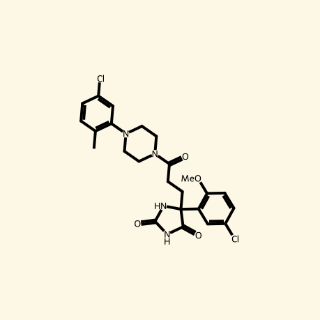 COc1ccc(Cl)cc1C1(CCC(=O)N2CCN(c3cc(Cl)ccc3C)CC2)NC(=O)NC1=O